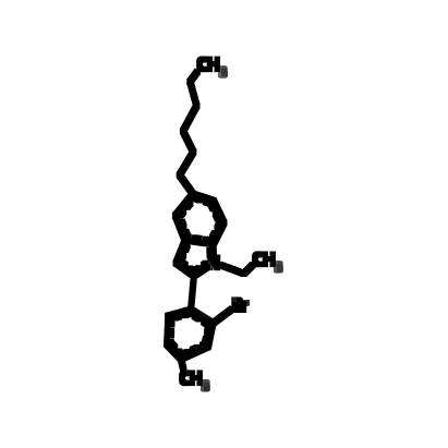 CCCCCCc1ccc2c(c1)cc(-c1ccc(C)cc1Br)n2CC